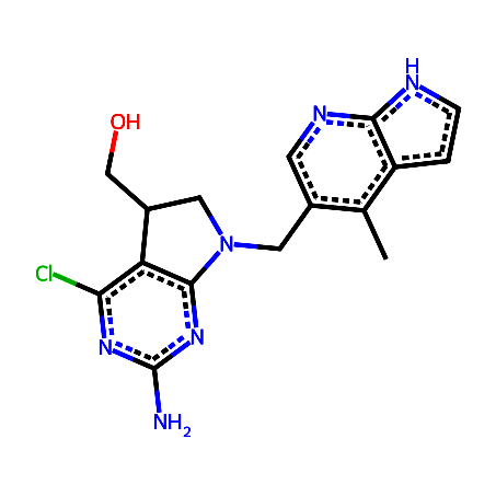 Cc1c(CN2CC(CO)c3c(Cl)nc(N)nc32)cnc2[nH]ccc12